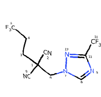 N#CC(C#N)(CCC(F)(F)F)Cn1cnc(C(F)(F)F)n1